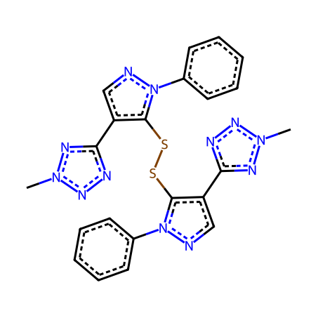 Cn1nnc(-c2cnn(-c3ccccc3)c2SSc2c(-c3nnn(C)n3)cnn2-c2ccccc2)n1